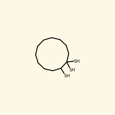 SC1CCCCCCCCCCC1(S)S